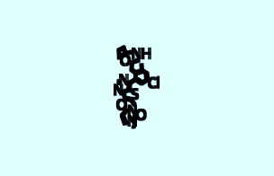 Cc1cc(Cl)cc(-c2ncnc3cc(Cn4c(=O)ccn(C)c4=O)sc23)c1CC1CNCC2(CCC2)O1